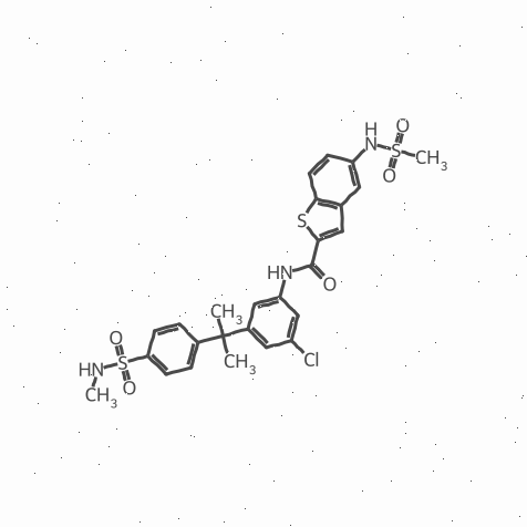 CNS(=O)(=O)c1ccc(C(C)(C)c2cc(Cl)cc(NC(=O)c3cc4cc(NS(C)(=O)=O)ccc4s3)c2)cc1